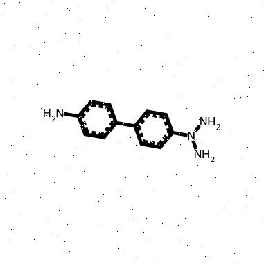 Nc1ccc(-c2ccc(N(N)N)cc2)cc1